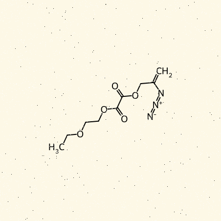 C=C(COC(=O)C(=O)OCCOCC)N=[N+]=[N-]